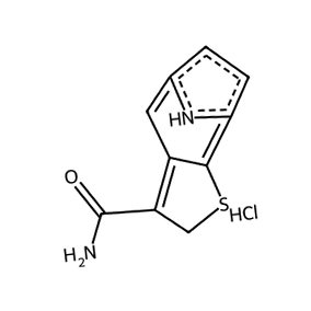 Cl.NC(=O)C1=C2C=c3ccc([nH]3)=C2SC1